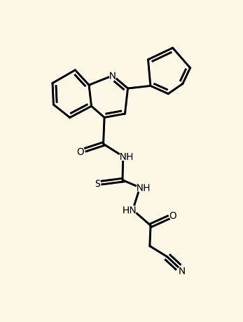 N#CCC(=O)NNC(=S)NC(=O)c1cc(-c2ccccc2)nc2ccccc12